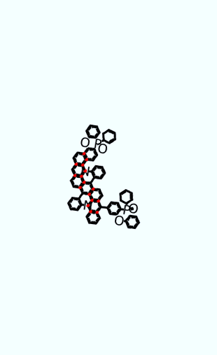 O=P1(C2C=CC=CC2)c2ccccc2Oc2cc(-c3cccc(-c4cc(-c5ccccc5N(c5ccccc5)c5ccccc5)c(-c5cccc(-c6ccc7c(c6)Oc6ccccc6P7(=O)C6C=CC=CC6)c5)cc4-c4ccccc4N(c4ccccc4)c4ccccc4)c3)ccc21